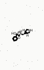 CC(C)[C@](O)(C(=O)NC[C@H]1[C@@H]2CNC[C@@H]21)c1ccccc1